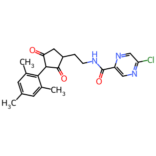 Cc1cc(C)c(C2C(=O)CC(CCNC(=O)c3cnc(Cl)cn3)C2=O)c(C)c1